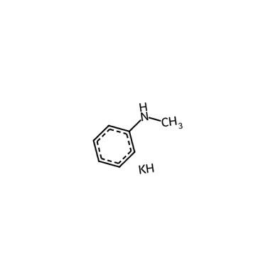 CNc1ccccc1.[KH]